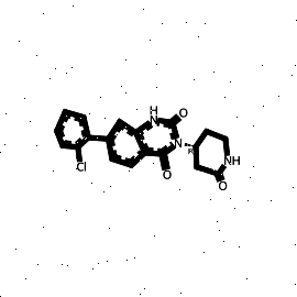 O=C1C[C@H](n2c(=O)[nH]c3cc(-c4ccccc4Cl)ccc3c2=O)CCN1